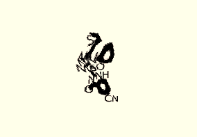 COc1ccccc1-n1c(SCc2nc(=O)c3cc(C#N)ccc3[nH]2)nnc1-c1cccs1